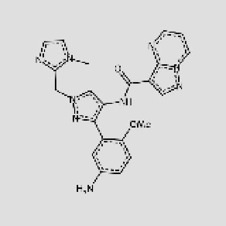 COc1ccc(N)cc1-c1nn(Cc2nccn2C)cc1NC(=O)c1cnn2cccnc12